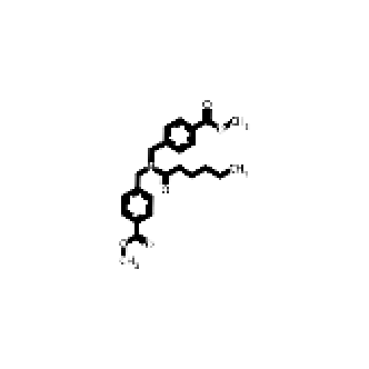 CCCCCC(=O)N(Cc1ccc(C(=O)OC)cc1)Cc1ccc(C(=O)OC)cc1